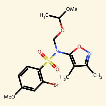 COc1ccc(S(=O)(=O)N(COC(C)OC)c2onc(C)c2C)c(Br)c1